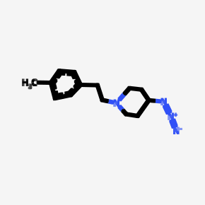 Cc1ccc(CCN2CCC(N=[N+]=[N-])CC2)cc1